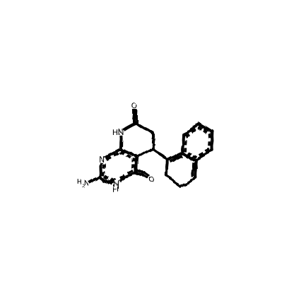 Nc1nc2c(c(=O)[nH]1)C(C1=c3ccccc3=CCC1)CC(=O)N2